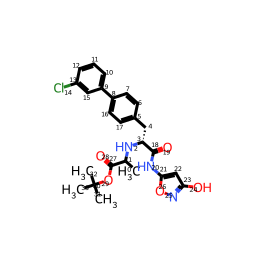 CC(N[C@H](Cc1ccc(-c2cccc(Cl)c2)cc1)C(=O)Nc1cc(O)no1)C(=O)OC(C)(C)C